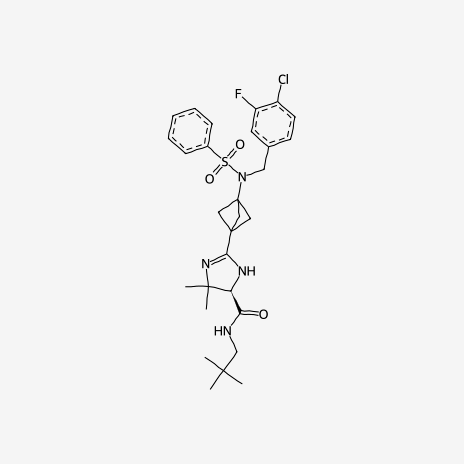 CC(C)(C)CNC(=O)[C@@H]1NC(C23CC(N(Cc4ccc(Cl)c(F)c4)S(=O)(=O)c4ccccc4)(C2)C3)=NC1(C)C